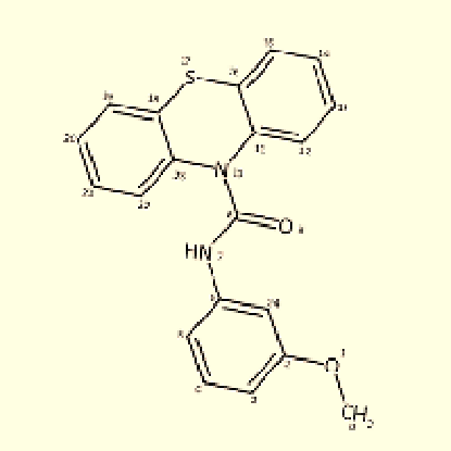 COc1cccc(NC(=O)N2c3ccccc3Sc3ccccc32)c1